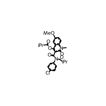 COc1ccc2c(c1)c(OC(=O)C(C)C)c(C(=O)N(C(=O)C(C)C)c1ccc(Cl)cc1)c(=O)n2C